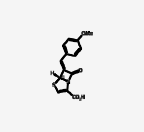 COc1ccc(C=C2C(=O)N3C(C(=O)O)=CS[C@H]23)cc1